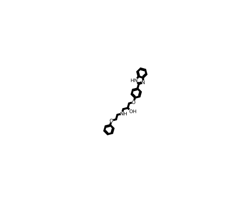 OC(CNCCOc1ccccc1)COc1ccc(-c2nc3ccccc3[nH]2)cc1